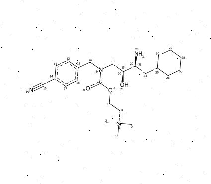 C[Si](C)(C)CCOC(=O)N(Cc1ccc(C#N)cc1)C[C@H](O)[C@@H](N)CC1CCCCC1